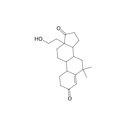 CC1(C)CC2C(CCC3(CCO)C(=O)CCC23)C2CCC(=O)C=C21